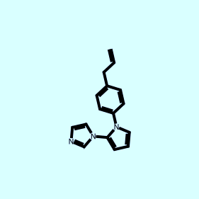 C=CCc1ccc(-n2cccc2-n2[c]ncc2)cc1